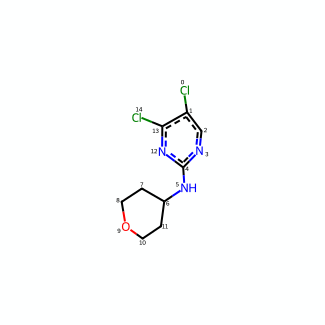 Clc1cnc(NC2CCOCC2)nc1Cl